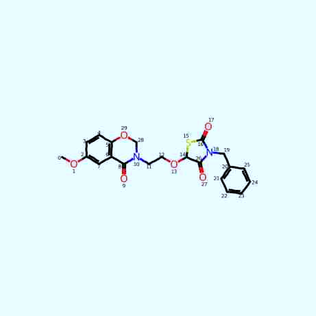 COc1ccc2c(c1)C(=O)N(CCOC1SC(=O)N(Cc3ccccc3)C1=O)CO2